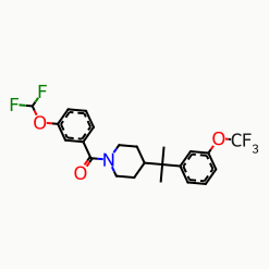 CC(C)(c1cccc(OC(F)(F)F)c1)C1CCN(C(=O)c2cccc(OC(F)F)c2)CC1